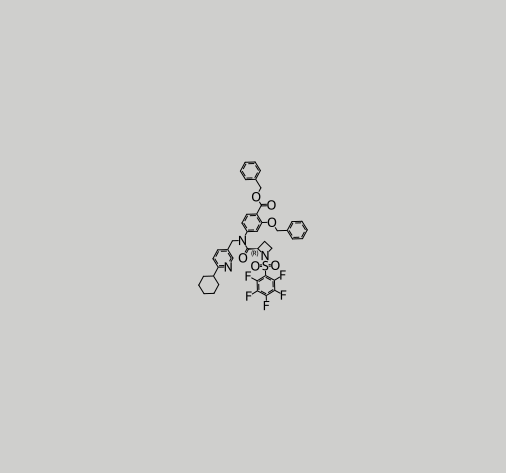 O=C(OCc1ccccc1)c1ccc(N(Cc2ccc(C3CCCCC3)nc2)C(=O)[C@H]2CCN2S(=O)(=O)c2c(F)c(F)c(F)c(F)c2F)cc1OCc1ccccc1